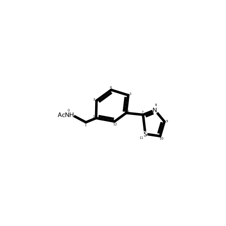 CC(=O)NCc1cccc(-c2nccs2)c1